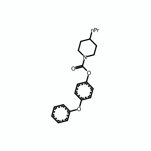 CCCC1CCN(C(=O)Oc2ccc(Oc3ccccc3)cc2)CC1